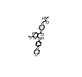 CNC(=O)CN1CCN(C(=O)c2cnc(SC)nc2Nc2ccc(N3CCOCC3)cc2)CC1